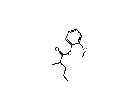 CCCC(C)C(=O)Oc1ccccc1OC